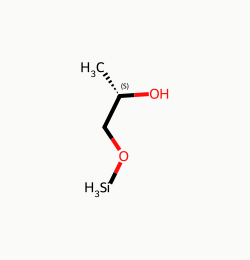 C[C@H](O)CO[SiH3]